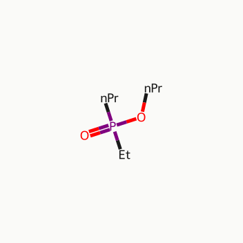 CCCOP(=O)(CC)CCC